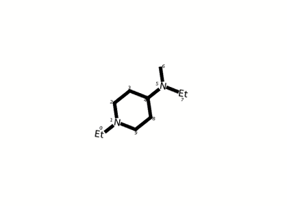 CCN1CCC(N(C)CC)CC1